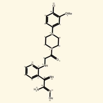 COc1cc(N2CCN(C(=O)CNc3ncccc3C(=N)/C(N)=N/O)CC2)ccc1Cl